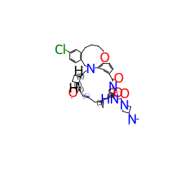 CO[C@H]1/C=C/C[C@H](C)C[S@@](=O)(NC(=O)N2CC(N(C)C)C2)=NC(=O)c2ccc3c(c2)N(Cc2ccc(Cl)cc2CCCCO3)C[C@@H]2CC[C@H]21